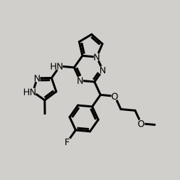 COCCOC(c1ccc(F)cc1)c1nc(Nc2cc(C)[nH]n2)c2cccn2n1